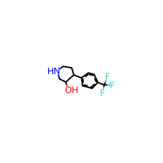 OC1CNCCC1c1ccc(C(F)(F)F)cc1